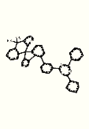 CC1(C)c2ccccc2C2(c3ccccc3-c3c(-c4cccc(-c5nc(-c6ccccc6)nc(-c6ccccc6)n5)c4)cccc32)c2ccccc21